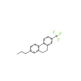 CCCc1ccc2c(c1)CCc1cc(C(F)(F)F)ccc1-2